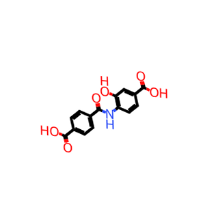 O=C(O)c1ccc(C(=O)Nc2ccc(C(=O)O)cc2O)cc1